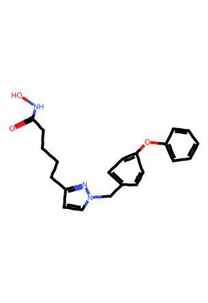 O=C(CCCCc1ccn(Cc2ccc(Oc3ccccc3)cc2)n1)NO